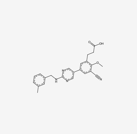 COc1c(C#N)cc(-c2cnc(NCc3cccc(C)c3)nc2)cc1CCC(=O)O